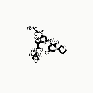 CN(C(=O)OC(C)(C)C)c1cc(Nc2cc(Cl)cn(C3CCCOC3)c2=O)nc2c(C(=O)N[C@H]3[C@@H]4COC[C@@H]43)cnn12